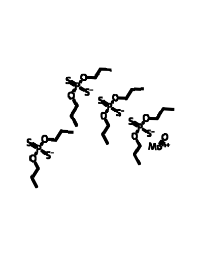 CCCOP(=S)([S-])OCCC.CCCOP(=S)([S-])OCCC.CCCOP(=S)([S-])OCCC.CCCOP(=S)([S-])OCCC.[O]=[Mo+4]